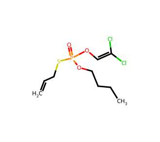 C=CCSP(=O)(OC=C(Cl)Cl)OCCCC